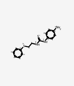 Nc1ccc(NC(=S)NCCSc2ccccc2)cc1